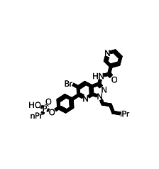 CCCP(=O)(O)Oc1ccc(-c2nc3c(cc2Br)c(NC(=O)c2cccnc2)nn3CCCC(C)C)cc1